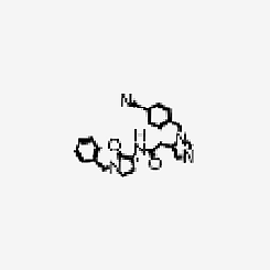 N#Cc1ccc(Cn2cncc2CC(=O)N[C@@H]2CCN(Cc3ccccc3)C2=O)cc1